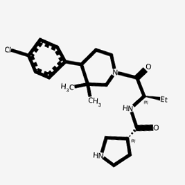 CC[C@@H](NC(=O)[C@@H]1CCNC1)C(=O)N1CCC(c2ccc(Cl)cc2)C(C)(C)C1